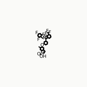 Cc1cc2c(ccn2C(=O)O)cc1Oc1cccc(-c2c3cccc(C(F)(F)F)c3nn2Cc2c(F)cc(F)cc2F)c1